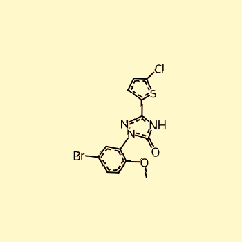 COc1ccc(Br)cc1-n1nc(-c2ccc(Cl)s2)[nH]c1=O